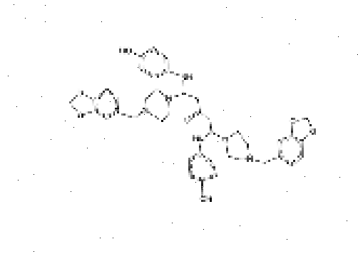 O=C(CC(Nc1ccc(O)cc1)N1CCN(Cc2ccc3c(c2)OCO3)CC1)CC(Nc1ccc(O)cc1)N1CCN(Cc2ccc3c(c2)OCO3)CC1